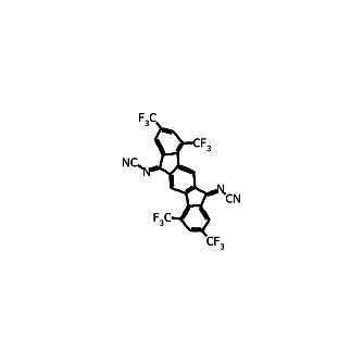 N#C/N=c1/c2cc3c(cc2c2c(C(F)(F)F)cc(C(F)(F)F)cc12)/c(=N/C#N)c1cc(C(F)(F)F)cc(C(F)(F)F)c13